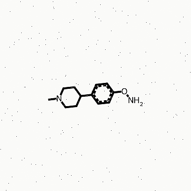 CN1CCC(c2ccc(ON)cc2)CC1